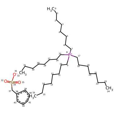 CCCCCCCC[P+](CCCCCCCC)(CCCCCCCC)CCCCCCCC.O=S(=O)([O-])Cc1ccccc1